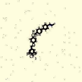 C/C=C/C1C=CC(C2CCC(C(F)(F)OC3CCC(OCc4cc(F)c(C(F)(F)F)c(F)c4)CC3)CC2)CC1